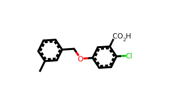 Cc1cccc(COc2ccc(Cl)c(C(=O)O)c2)c1